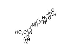 CN(C)c1ncc(-c2ncc(CNCC3CCN(c4nccc(C=C5SC(=O)NC5=O)n4)CC3)cc2C(=O)O)cn1